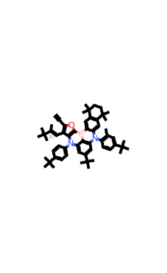 C#Cc1oc2c(c1/C=C(\C)C(C)(C)C)N(c1ccc(C(C)(C)C)cc1)c1cc(C(C)(C)C)cc3c1B2c1cc2c(cc1N3c1ccc(C(C)(C)C)cc1C)C(C)(C)CCC2(C)C